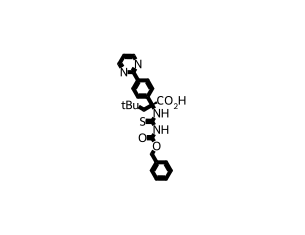 CC(C)(C)C[C@](NC(=S)NC(=O)OCc1ccccc1)(C(=O)O)c1ccc(-c2ncccn2)cc1